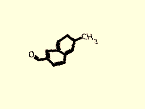 CC1C=c2ccc(C=O)cc2=CC1